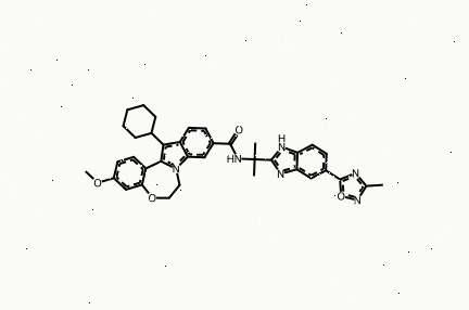 COc1ccc2c(c1)OCCn1c-2c(C2CCCCC2)c2ccc(C(=O)NC(C)(C)c3nc4cc(-c5nc(C)no5)ccc4[nH]3)cc21